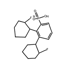 O=P(O)(O)c1cccc(C2CCCCC2F)c1C1CCCCC1F